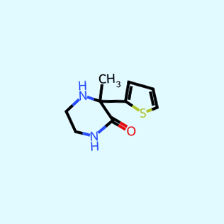 CC1(c2cccs2)NCCNC1=O